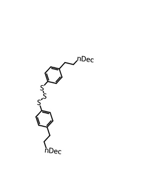 CCCCCCCCCCCCc1ccc(SSSc2ccc(CCCCCCCCCCCC)cc2)cc1